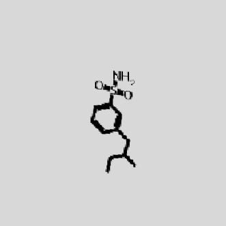 CCC(C)Cc1cccc(S(N)(=O)=O)c1